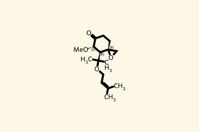 CO[C@@H]1C(=O)CC[C@]2(CO2)[C@H]1C(C)(C)OCC=C(C)C